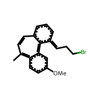 COc1ccc2c(c1)=c1c(cccc1=CCCBr)C=CC=2C